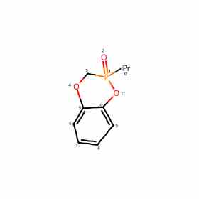 CC(C)P1(=O)COc2ccccc2O1